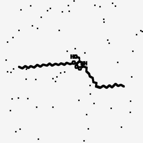 CCCCCCCC/C=C\CCCCCCCC(=O)N[C@@H](CO)C(=O)OCCCCCCCCCCCCCCCCCC